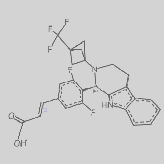 O=C(O)/C=C/c1cc(F)c([C@@H]2c3[nH]c4ccccc4c3CCN2C23CC(C(F)(F)F)(C2)C3)c(F)c1